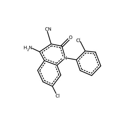 N#Cc1c(N)c2ccc(Cl)cc2n(-c2ccccc2Cl)c1=O